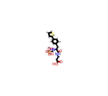 O=C(O)CCNC(=O)C(Cc1ccc(-c2cccs2)cc1)NCP(=O)(O)O